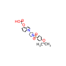 CC(C)Oc1ccc(S(=O)(=O)N2CC[C@H](n3ccc4c(OCC(=O)O)cccc43)C2)cc1